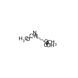 COc1ccc2ncn(CCCCCOP(C)(=O)O)c2c1